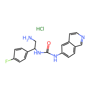 Cl.NCC(NC(=O)Nc1ccc2cnccc2c1)c1ccc(F)cc1